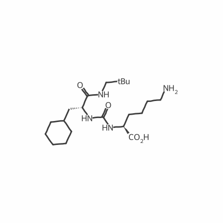 CC(C)(C)CNC(=O)[C@@H](CC1CCCCC1)NC(=O)N[C@@H](CCCCN)C(=O)O